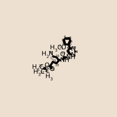 COc1ccccc1-c1cc(NC(=O)NC(CCN)CCC(=O)OC(C)(C)C)ncn1